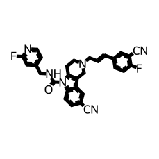 N#Cc1ccc2c(c1)c1c(n2C(=O)NCc2ccnc(F)c2)CCN(CC=Cc2ccc(F)c(C#N)c2)C1